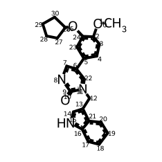 COc1ccc(-c2cnc(=O)n(Cc3c[nH]c4ccccc34)c2)cc1OC1CCCC1